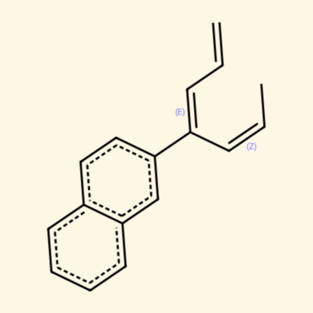 C=C/C=C(\C=C/C)c1ccc2ccccc2c1